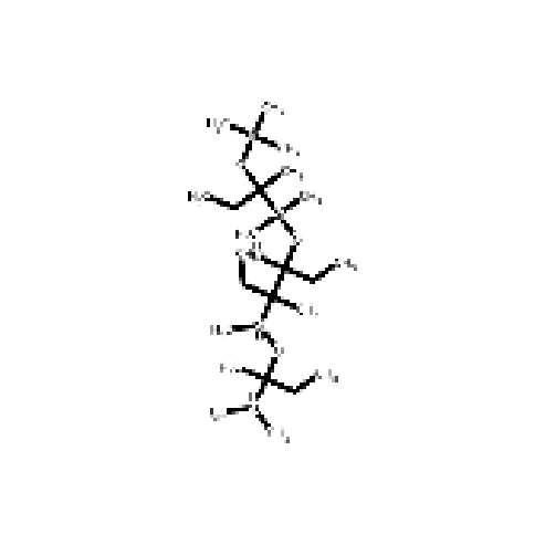 CCC(C)(O[SiH](C)C(C)(CC)C(C)(CC)O[Si](C)(C)C(C)(CC)O[Si](C)(C)C)[SiH](C)C